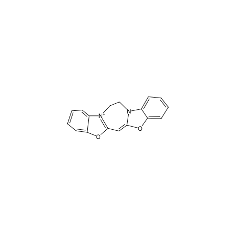 C1=C2Oc3ccccc3N2CC[n+]2c1oc1ccccc12